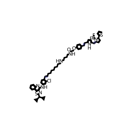 O=C(COc1ccc(/C=C/c2ccc(/C=C3/C=CC(c4cccs4)N3B(F)F)[nH]2)cc1)NCCCCNCCCCCCCC/C=C/c1ccc(Nc2nc3ccccc3c3sc(C(C4CC4)C4CC4)nc23)cc1Cl